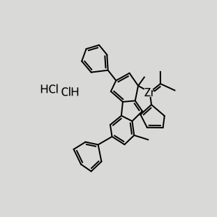 C[C](C)=[Zr]([C]1=CC=CC1)[C]1(C)C=C(c2ccccc2)C=C2C1=Cc1c(C)cc(-c3ccccc3)cc12.Cl.Cl